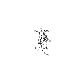 C[C@@H]1C(=O)C(C#N)=C[C@]2(C)[C@H]3CC(=O)[C@H]4C(CC(C)(C)CCCC#N)CCC[C@@]4(C)[C@]3(C)CC[C@@H]12